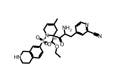 CCOC(=O)[C@]1(C(=O)C(N)Cc2ccnc(C#N)c2)CC(C)=CCN1S(=O)(=O)c1ccc2c(c1)CNCC2